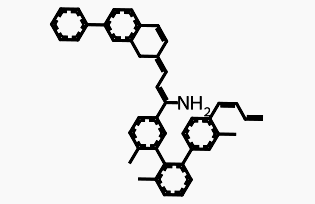 C=C/C=C\c1ccc(-c2cccc(C)c2-c2cc(/C(N)=C/C=C3/C=Cc4ccc(-c5ccccc5)cc4C3)ccc2C)cc1C